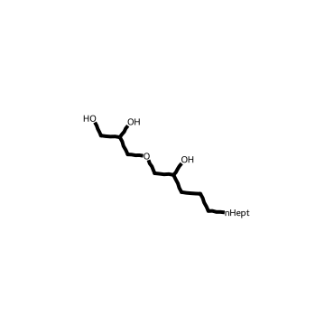 CCCCCCCCCCC(O)COCC(O)CO